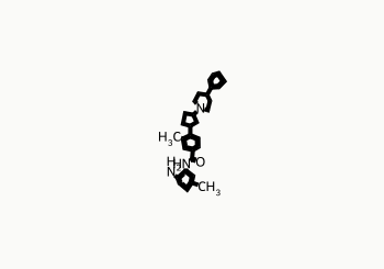 Cc1ccc(N)c(NC(=O)c2ccc(C3CCC(N4CCC(c5ccccc5)CC4)C3)c(C)c2)c1